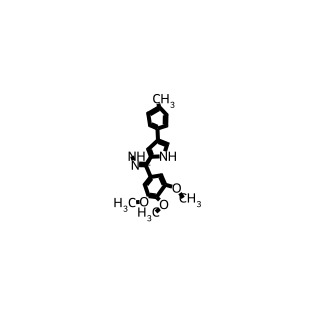 COc1cc(C(=NN)c2cc(-c3ccc(C)cc3)c[nH]2)cc(OC)c1OC